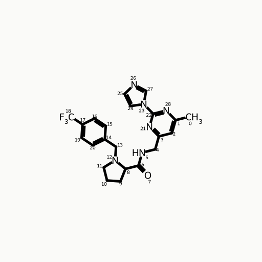 Cc1cc(CNC(=O)C2CCCN2Cc2ccc(C(F)(F)F)cc2)nc(-n2ccnc2)n1